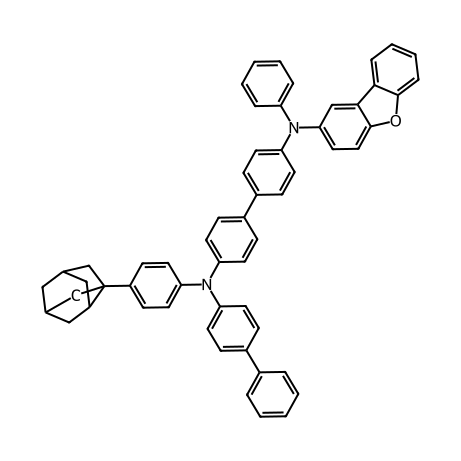 c1ccc(-c2ccc(N(c3ccc(-c4ccc(N(c5ccccc5)c5ccc6oc7ccccc7c6c5)cc4)cc3)c3ccc(C45CC6CC(CC4C6)C5)cc3)cc2)cc1